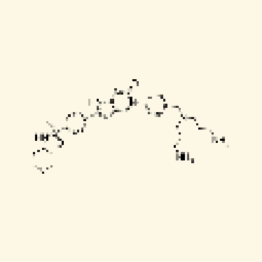 NCCCN(CCCN)Cc1ccc(-n2cc3cc(-c4ccc(S(=O)(=O)NC5CCNCC5)cc4)[nH]c3nc2=O)cc1